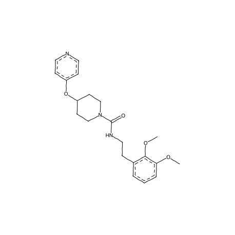 COc1cccc(CCNC(=O)N2CCC(Oc3ccncc3)CC2)c1OC